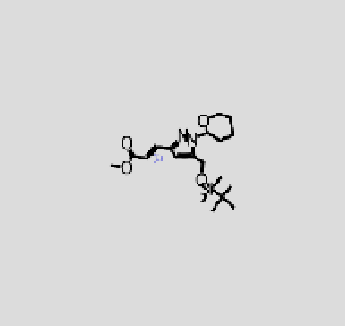 COC(=O)/C=C/c1cc(CO[Si](C)(C)C(C)(C)C)n(C2CCCCO2)n1